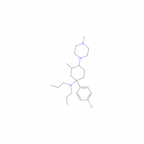 CCCN(CCC)C1(c2ccc(Cl)cc2)CCC(N2CCN(C)CC2)C(C)C1